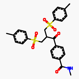 CNC(=O)c1ccc(C(=O)C(CS(=O)(=O)c2ccc(C)cc2)CS(=O)(=O)c2ccc(C)cc2)cc1